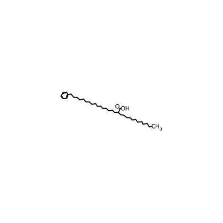 CCCCCCCCCCCCC(CCCCCCCCCCCCCCCCc1ccccc1)C(=O)O